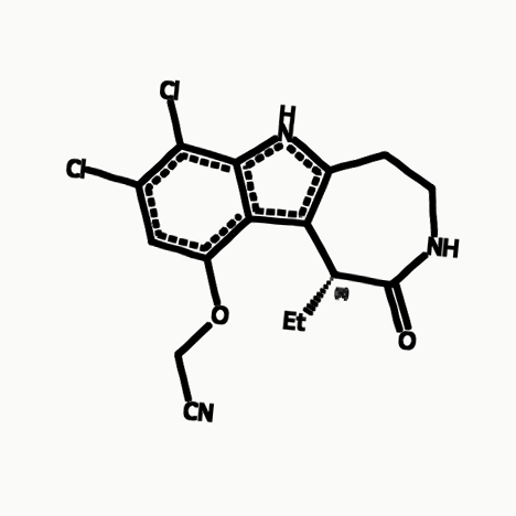 CC[C@H]1C(=O)NCCc2[nH]c3c(Cl)c(Cl)cc(OCC#N)c3c21